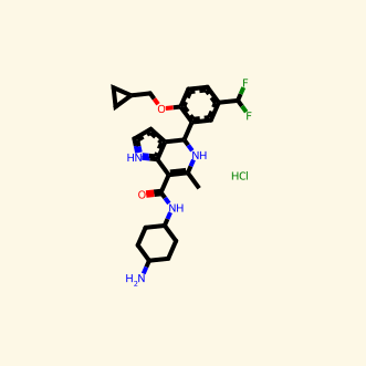 CC1=C(C(=O)NC2CCC(N)CC2)c2[nH]ccc2C(c2cc(C(F)F)ccc2OCC2CC2)N1.Cl